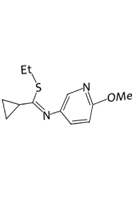 CCSC(=Nc1ccc(OC)nc1)C1CC1